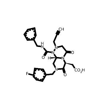 C#CCN1CC(=O)N2[C@@H](CC(=O)O)C(=O)N(Cc3ccc(F)cc3)C[C@@H]2N1C(=O)NCc1ccccc1